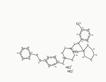 Cl.Cl.OC1(C(CN2CCN(Cc3ccc(OCc4ccccc4)cc3)CC2)c2cccc(Cl)c2)CCCCC1